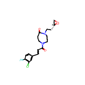 O=C(C=Cc1ccc(F)c(Cl)c1)N1CCC(=O)N(CC[C@@H]2CO2)CC1